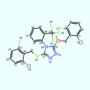 Fc1cccc(Cl)c1COc1nnc(SCc2c(F)cccc2Cl)n1-c1ccccc1C(F)(F)F